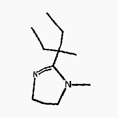 CCC(C)(CC)C1=NCCN1C